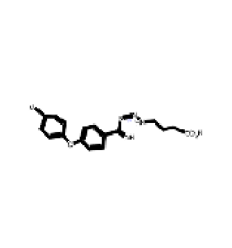 N=C(/N=N\NCCCC(=O)O)c1ccc(Oc2ccc(Cl)cc2)cc1